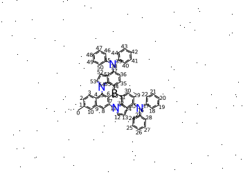 Cc1ccc2c3c4c(cc2c1)-n1ccc2c(N(c5ccccc5)c5ccccc5)ccc(c21)B4c1ccc(N(c2ccccc2)c2ccccc2)c2ccn-3c12